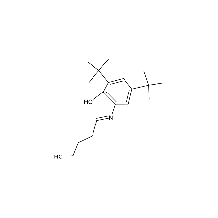 CC(C)(C)c1cc(N=CCCCO)c(O)c(C(C)(C)C)c1